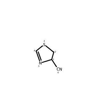 N#CC1[C]S[C]=N1